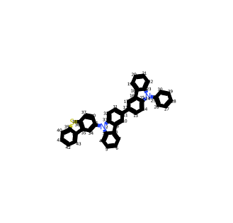 c1c(-n2c3ccccc3c3cc(-c4ccc5c(c4)c4ccccc4n5-c4ccccc4)ccc32)cc2c(c#1)sc1ccccc12